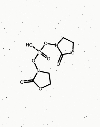 O=C1OCCN1OP(=O)(O)ON1CCOC1=O